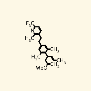 C=C(CC(C=CC)c1c(C)cc(CCc2ccc(C(F)(F)F)nc2C)cc1C)OC